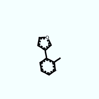 Cc1[c]cccc1-c1ccoc1